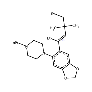 CCCN1CCN(c2cc3c(cc2/C(=C/C(C)(C)CC(C)C)CC)OCO3)CC1